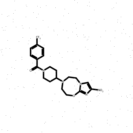 O=C(c1ccc(C(F)(F)F)cc1)N1CCC(N2CCOc3nc([N+](=O)[O-])cn3CC2)CC1